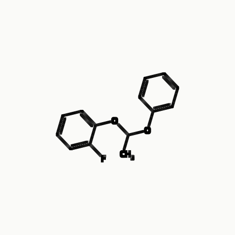 CC(Oc1ccccc1)Oc1ccccc1F